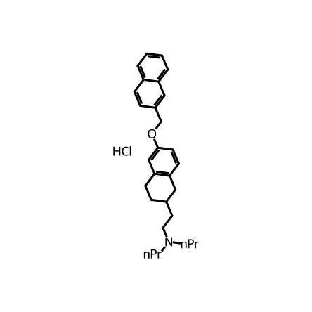 CCCN(CCC)CCC1CCc2cc(OCc3ccc4ccccc4c3)ccc2C1.Cl